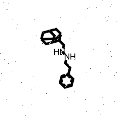 c1ccc(CCNNCC2C3CC4CC(C3)CC2C4)cc1